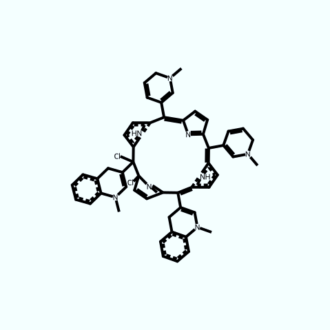 CN1C=C(C2=C3C=CC(=N3)C(C3=CN(C)CC=C3)=c3ccc([nH]3)=C(C3=CN(C)c4ccccc4C3)C3=NC(Cl)(C=C3)C(Cl)(C3=CN(C)c4ccccc4C3)c3ccc2[nH]3)C=CC1